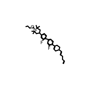 C=CCC/C=C/C1CC=C(c2ccc(-c3ccc(C4CC(C)(C)N(OCCC)C(C)(C)C4)cc3F)cc2F)CC1